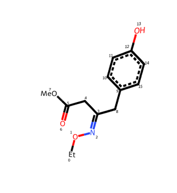 CCO/N=C(\CC(=O)OC)Cc1ccc(O)cc1